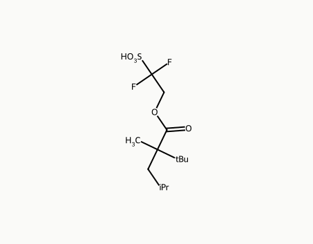 CC(C)CC(C)(C(=O)OCC(F)(F)S(=O)(=O)O)C(C)(C)C